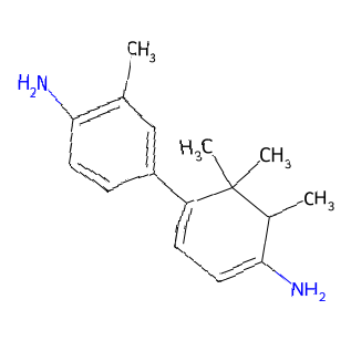 Cc1cc(C2=CC=C(N)C(C)C2(C)C)ccc1N